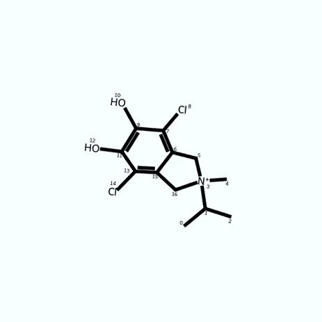 CC(C)[N+]1(C)Cc2c(Cl)c(O)c(O)c(Cl)c2C1